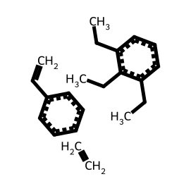 C=C.C=Cc1ccccc1.CCc1cccc(CC)c1CC